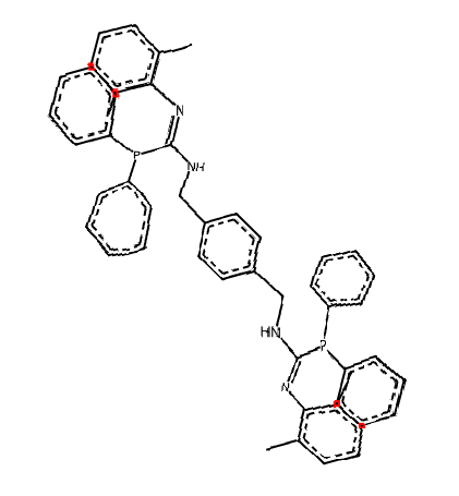 Cc1cccc(C)c1/N=C(/NCc1ccc(CN/C(=N/c2c(C)cccc2C)P(c2ccccc2)c2ccccc2)cc1)P(c1ccccc1)c1ccccc1